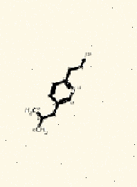 CC(C)Cc1ccc(CCI)nc1